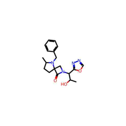 CC(O)C(c1nnco1)N1CC2(CCC(C)N2Cc2ccccc2)C1=O